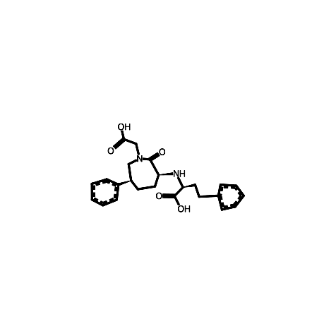 O=C(O)CN1C[C@H](c2ccccc2)CC[C@H](N[C@@H](CCc2ccccc2)C(=O)O)C1=O